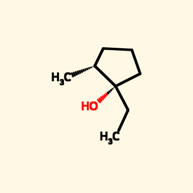 CC[C@]1(O)CCC[C@H]1C